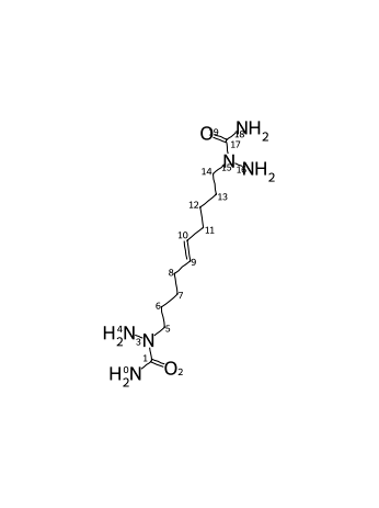 NC(=O)N(N)CCCCC=CCCCCN(N)C(N)=O